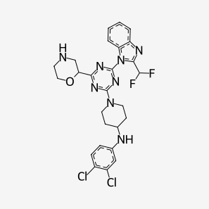 FC(F)c1nc2ccccc2n1-c1nc(C2CNCCO2)nc(N2CCC(Nc3ccc(Cl)c(Cl)c3)CC2)n1